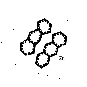 [Zn].c1ccc2cc3ccccc3cc2c1.c1ccc2cc3ccccc3cc2c1